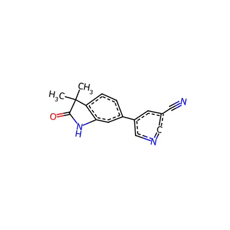 CC1(C)C(=O)Nc2cc(-c3cncc(C#N)c3)ccc21